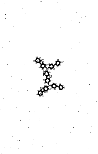 c1ccc(-c2ccc(N(c3ccc4c(c3)oc3ccccc34)c3ccc4c(c3)oc3cc(N(c5ccc(-c6ccccc6)cc5)c5ccc6c(c5)oc5ccccc56)nnc34)cc2)cc1